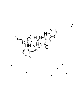 C=CCOC(=O)NC[C@@H](CNC(=O)c1nc(Cl)c(N)nc1N)Cc1ccccc1C